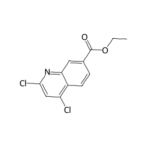 CCOC(=O)c1ccc2c(Cl)cc(Cl)nc2c1